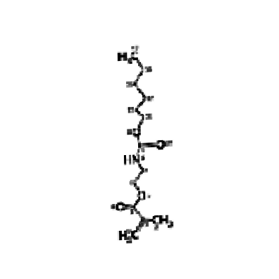 C=C(C)C(=O)OCCNC(=O)OCCCCCC